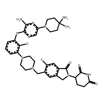 CC1(N)CCN(c2cnc(Sc3cccc(N4CCN(Cc5cc6c(cc5F)C(=O)N(C5CCC(=O)NC5=O)C6)CC4)c3Cl)c(N)n2)CC1